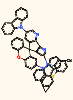 N#Cc1ccc2c(c1)c1cc3c(cc1n2-c1ccc2c(c1)C1(c4ccccc4O2)c2cc(N4c5ccccc5Sc5ccccc54)cnc2-c2ncc(-n4c5ccccc5c5ccccc54)cc21)C3